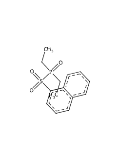 CCP(=O)(CC)S(=O)(=O)c1cccc2ccccc12